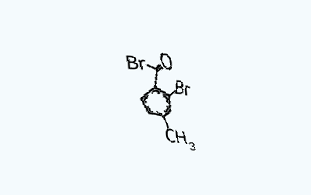 Cc1ccc(C(=O)Br)c(Br)c1